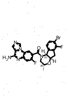 C[C@@H]1CN(C(=O)c2cc3c(cc2F)nc(N)c2cncn23)[C@H]2c3ccc(Br)c(F)c3C[C@H]2O1